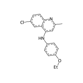 CCOc1ccc(Nc2cc(C)nc3ccc(Cl)cc23)cc1